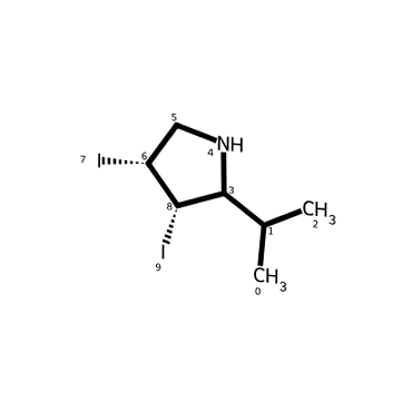 CC(C)C1NC[C@@H](I)[C@H]1I